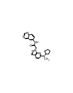 CN(c1ccc2cnn(CC(=O)Nc3ccc4ncncc4c3)c2n1)C1CCCC1